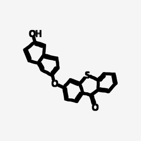 O=c1c2ccccc2sc2cc(Oc3ccc4cc(O)ccc4c3)ccc12